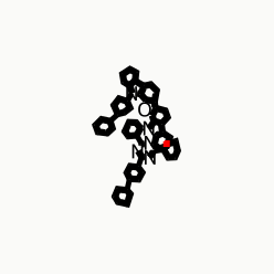 c1ccc(-c2ccc(-c3nc(-c4ccccc4)nc(-c4ccccc4-n4c5ccccc5c5ccc6c7ccc8c9ccccc9n(-c9ccc(-c%10ccccc%10)cc9)c8c7oc6c54)n3)cc2)cc1